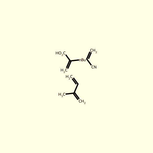 C=C(CCCC)C(=O)O.C=CC#N.C=CC(=C)C